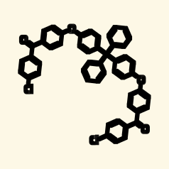 O=C(c1ccc(Cl)cc1)c1ccc(Oc2ccc(C(c3ccccc3)(c3ccccc3)c3ccc(Oc4ccc(C(=O)c5ccc(Cl)cc5)cc4)cc3)cc2)cc1